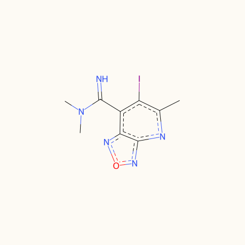 Cc1nc2nonc2c(C(=N)N(C)C)c1I